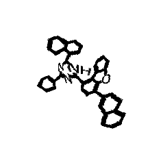 c1ccc(C2=NC(c3ccc(-c4ccc5ccccc5c4)c4oc5ccccc5c34)NC(c3cccc4ccccc34)=N2)cc1